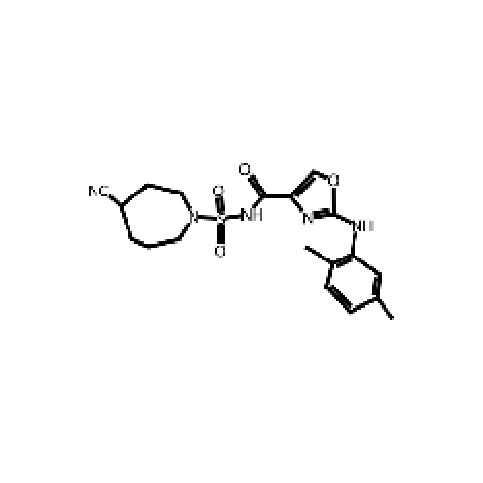 Cc1ccc(C)c(Nc2nc(C(=O)NS(=O)(=O)N3CCCC(C#N)CC3)co2)c1